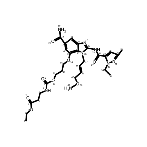 CCOC(=O)CCNC(=O)OCCCOc1cc(C(N)=O)cc2nc(NC(=O)c3cc(C)nn3CC)n(C/C=C/CON)c12